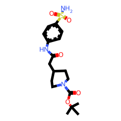 CC(C)(C)OC(=O)N1CCC(CC(=O)Nc2ccc(S(N)(=O)=O)cc2)CC1